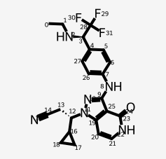 CCN[C@H](c1ccc(Nc2nn([C@@H](CC#N)C3CC3)c3cc[nH]c(=O)c23)cc1)C(F)(F)F